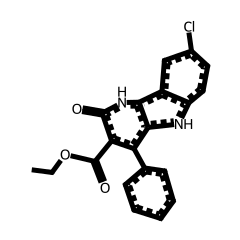 CCOC(=O)c1c(-c2ccccc2)c2[nH]c3ccc(Cl)cc3c2[nH]c1=O